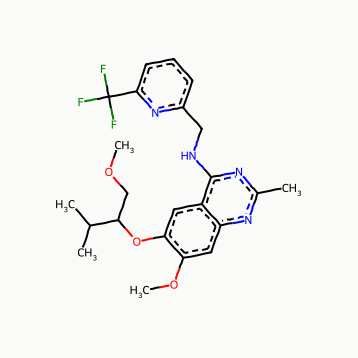 COCC(Oc1cc2c(NCc3cccc(C(F)(F)F)n3)nc(C)nc2cc1OC)C(C)C